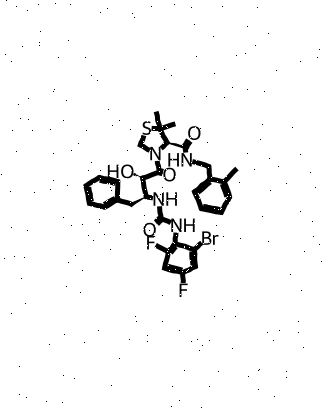 Cc1ccccc1CNC(=O)[C@H]1N(C(=O)[C@@H](O)[C@H](Cc2ccccc2)NC(=O)Nc2c(F)cc(F)cc2Br)CSC1(C)C